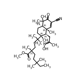 CCC(C)(C)CC[C@@](C)(CCC(C)(C)[C@]1(C)CC[C@H]2C(C)(C)C(=O)C(C#N)=C[C@]2(C)[C@H]1CC(C)=NO)C(=O)OC